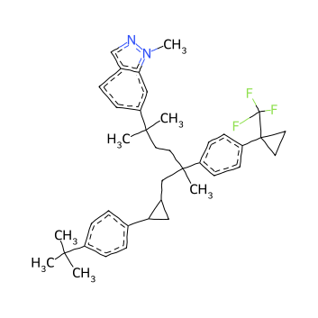 Cn1ncc2ccc(C(C)(C)CCC(C)(CC3CC3c3ccc(C(C)(C)C)cc3)c3ccc(C4(C(F)(F)F)CC4)cc3)cc21